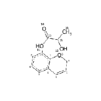 C1=Cc2ccccc2OC1.CC(O)C(=O)O